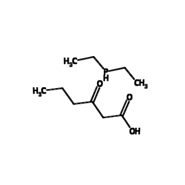 CCCC(=O)CC(=O)O.CCPCC